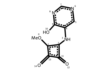 COc1c(Nc2cncnc2O)c(=O)c1=O